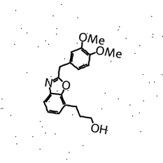 COc1ccc(Cc2nc3cccc(CCCO)c3o2)cc1OC